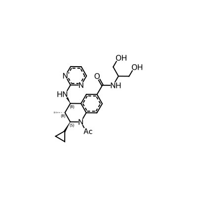 CC(=O)N1c2ccc(C(=O)NC(CO)CO)cc2[C@H](Nc2ncccn2)[C@@H](C)[C@@H]1C1CC1